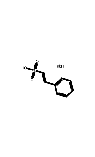 O=S(=O)(O)C=Cc1ccccc1.[RbH]